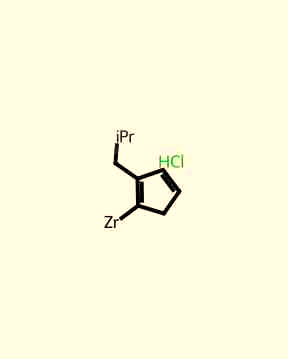 CC(C)CC1=[C]([Zr])CC=C1.Cl